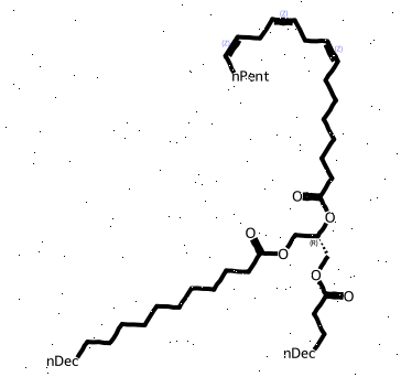 CCCCC/C=C\C/C=C\C/C=C\CCCCCCC(=O)O[C@H](COC(=O)CCCCCCCCCCCC)COC(=O)CCCCCCCCCCCCCCCCCCCC